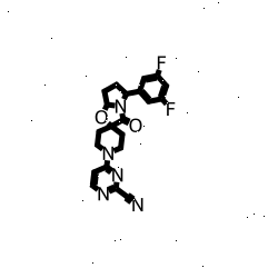 N#Cc1nccc(N2CCC3(CC2)OC2CCC(c4cc(F)cc(F)c4)N2C3=O)n1